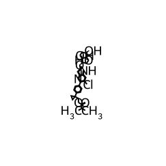 CC(C)C(=O)OCC1(c2ccc(-c3nc4cc(O[C@@H]5CO[C@H]6[C@@H]5OC[C@H]6O)[nH]c4cc3Cl)cc2)CC1